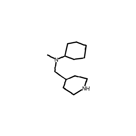 CN(CC1CCNCC1)C1CCCCC1